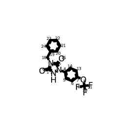 O=c1[nH]n(-c2ccc(OC(F)(F)F)cc2)c(=O)n1Cc1ccccc1